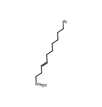 CCCCCCCCC/C=C/CCCCCCC(C)C